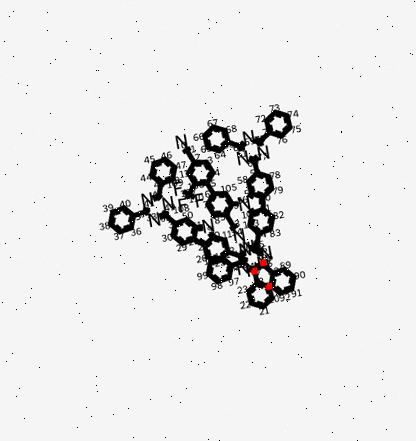 N#Cc1ccc(-c2cc(-n3c4cc(-c5ncnc(-c6ccccc6)n5)ccc4c4ccc(-c5nc(-c6ccccc6)nc(-c6ccccc6)n5)cc43)c(C#N)c(-n3c4cc(-c5nc(-c6ccccc6)nc(-c6ccccc6)n5)ccc4c4ccc(-c5nc(-c6ccccc6)nc(-c6ccccc6)n5)cc43)c2)c(C(F)(F)F)c1